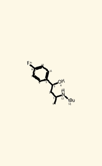 CC(CC(O)c1ccc(F)cc1)NC(C)(C)C